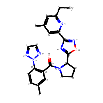 Cc1cc(CC(C)C)nc(-c2noc(C3CCCN3C(=O)c3cc(C)ccc3-n3nccn3)n2)c1